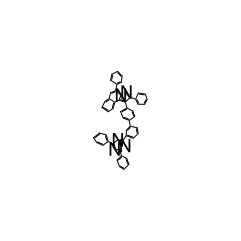 c1ccc(-c2nc(-c3ccccc3)nc(-c3cccc(-c4ccc(-c5c(-c6ccccc6)nn6c(-c7ccccc7)cc7ccccc7c56)cc4)c3)n2)cc1